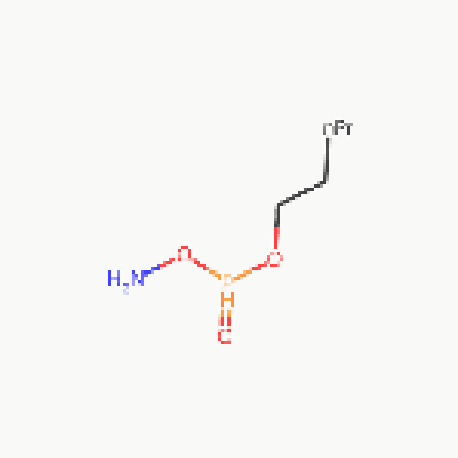 CCCCCO[PH](=O)ON